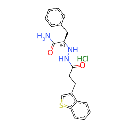 Cl.NC(=O)[C@@H](Cc1ccccc1)NNC(=O)CCc1csc2ccccc12